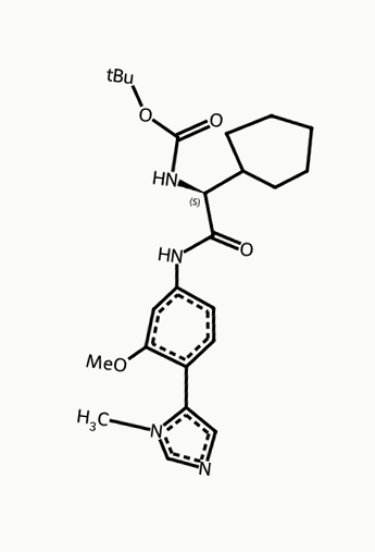 COc1cc(NC(=O)[C@@H](NC(=O)OC(C)(C)C)C2CCCCC2)ccc1-c1cncn1C